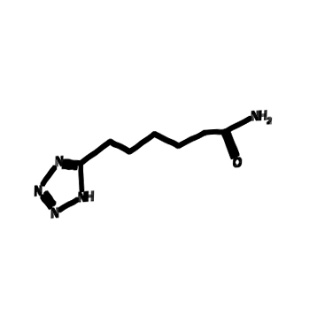 NC(=O)CCCCCc1nnn[nH]1